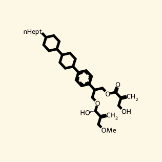 C=C(CO)C(=O)OCC(CO[C@@H](O)C(=C)COC)c1ccc(C2CCC(C3CCC(CCCCCCC)CC3)CC2)cc1